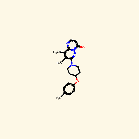 Cc1c(N2CCC(Oc3ccc(C(F)(F)F)cc3)CC2)nn2c(=O)ccnc2c1C